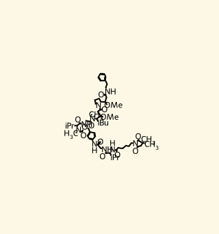 CCC(C)C(C(CC(=O)N1CCCC1C(CC(=O)NCCc1ccccc1)OC)OC)N(C)C(=O)CNC(=O)C(C(C)C)N(C)C(=O)OCc1ccc(NC(=O)CNC(=O)C(NC(=O)CCCCCN2C(=O)CC(C)(C)C2=O)C(C)C)cc1